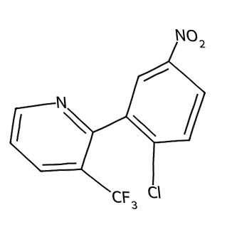 O=[N+]([O-])c1ccc(Cl)c(-c2ncccc2C(F)(F)F)c1